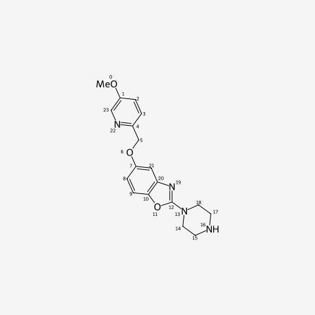 COc1ccc(COc2ccc3oc(N4CCNCC4)nc3c2)nc1